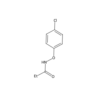 CCC(=O)NOc1ccc(Cl)cc1